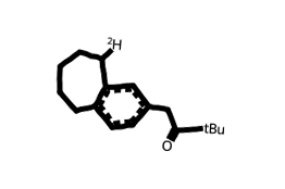 [2H]C1CCCCc2ccc(CC(=O)C(C)(C)C)cc21